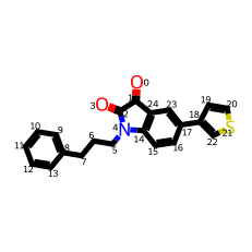 O=C1C(=O)N(CCCc2ccccc2)c2ccc(-c3ccsc3)cc21